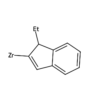 CCC1[C]([Zr])=Cc2ccccc21